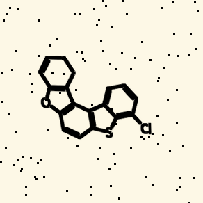 Clc1cccc2c1sc1ccc3oc4c(c3c12)CCC=C4